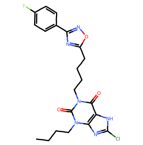 CCCCn1c(=O)n(CCCCc2nc(-c3ccc(F)cc3)no2)c(=O)c2[nH]c(Cl)nc21